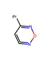 CC(C)C1=NON=C=C1